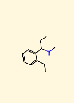 CCc1ccccc1[C@@H](CC)NC